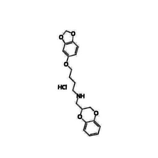 Cl.c1ccc2c(c1)OCC(CNCCCCOc1ccc3c(c1)OCO3)O2